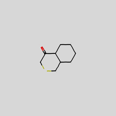 O=C1CSCC2CCCCC12